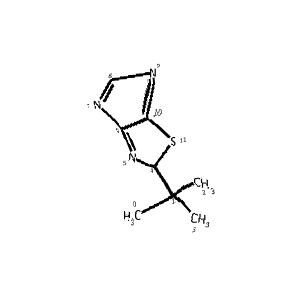 CC(C)(C)C1N=C2N=CN=C2S1